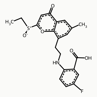 CC[S@+]([O-])c1cc(=O)c2cc(C)cc(CCNc3ccc(F)cc3C(=O)O)c2o1